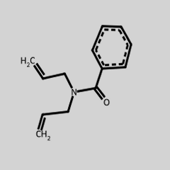 C=CCN(CC=C)C(=O)c1ccccc1